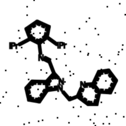 CC(C)c1cccc(C(C)C)c1/N=C/c1nn(Cc2ccc3ccccc3n2)c2ccccc12